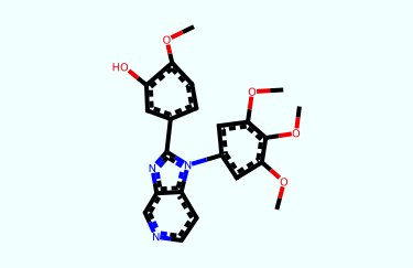 COc1ccc(-c2nc3cnccc3n2-c2cc(OC)c(OC)c(OC)c2)cc1O